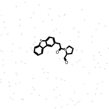 O=CC1CCCN1C(=O)Cc1ccc2sc3ccccc3c2c1